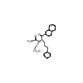 NC(=O)[C@H](CCC(=O)O)N(CCCc1ccccc1)C(=O)c1ccc2ccccc2c1